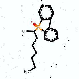 CCCCCCC(C)P1(=O)c2ccccc2-c2ccccc21